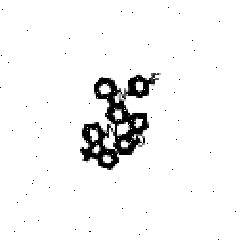 CC1(C)c2ccccc2-c2c(N(c3ccc4c(c3)c3ccccc3n4-c3ccc(F)cc3)c3cccc4oc5ccccc5c34)cccc21